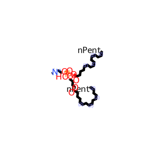 CCCCC/C=C\C/C=C\C/C=C\C/C=C\CCCC(=O)OCC(COP(=O)(O)OCC[N+](C)(C)C)OC(=O)CCC/C=C\C/C=C\C/C=C\C/C=C\CCCCC